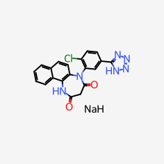 O=C1CC(=O)N(c2cc(-c3nnn[nH]3)ccc2Cl)c2ccc3ccccc3c2N1.[NaH]